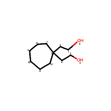 OCCC1(CCO)CCCCCC1